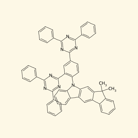 CC1(C)c2ccccc2-c2cc3c4ccccc4n(-c4ccc(-c5nc(-c6ccccc6)nc(-c6ccccc6)n5)cc4-c4nc(-c5ccccc5)nc(-c5ccccc5)n4)c3cc21